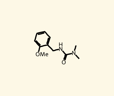 COc1ccccc1CNC(=O)N(C)C